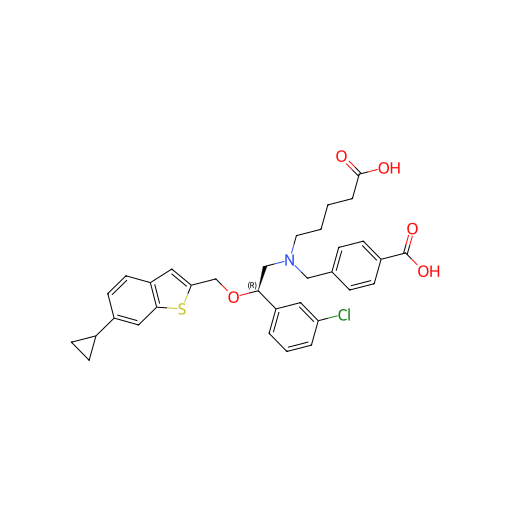 O=C(O)CCCCN(Cc1ccc(C(=O)O)cc1)C[C@H](OCc1cc2ccc(C3CC3)cc2s1)c1cccc(Cl)c1